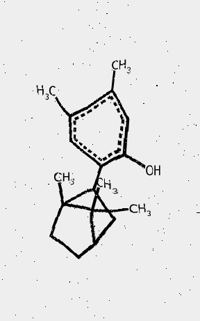 Cc1cc(O)c(C2CC3CCC2(C)C3(C)C)cc1C